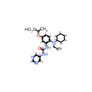 CC(C)CN(c1ccc(OC(C)C(=O)O)cc1NC(=O)Nc1cncnc1)C1CCCCC1